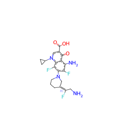 NC/C(F)=C1/CCCN(c2c(F)c(N)c3c(=O)c(C(=O)O)cn(C4CC4)c3c2F)C1